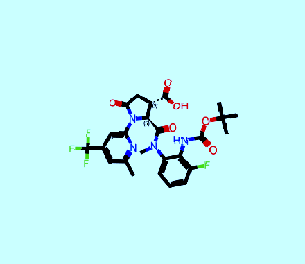 Cc1cc(C(F)(F)F)cc(N2C(=O)C[C@H](C(=O)O)[C@H]2C(=O)N(C)c2cccc(F)c2NC(=O)OC(C)(C)C)n1